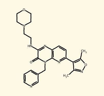 Cc1noc(C)c1-c1ccc2nc(NCCN3CCOCC3)c(=O)n(Cc3cccnc3)c2n1